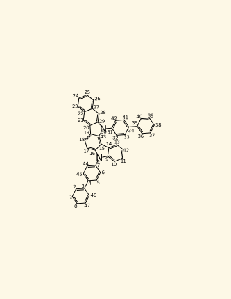 c1ccc(-c2ccc(-n3c4ccccc4c4c3ccc3c5cc6ccccc6cc5n(-c5ccc(-c6ccccc6)cc5)c34)cc2)cc1